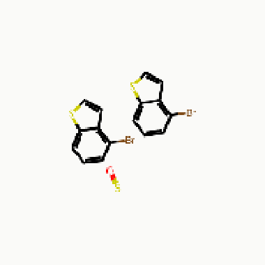 Brc1cccc2sccc12.Brc1cccc2sccc12.O=S